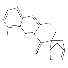 Cc1cccc2cc3c(cc12)C(=O)C1(CC3)CC2=CCC1C2